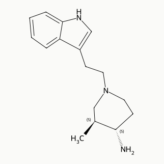 C[C@H]1CN(CCc2c[nH]c3ccccc23)CC[C@@H]1N